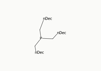 CCCCCCCCCCCP(CCCCCCCCCCC)CCCCCCCCCCC